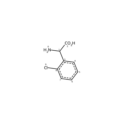 NC(C(=O)O)c1ccccc1Cl